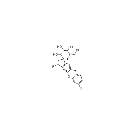 CCc1ccc(Cc2cc3c(cc2Cl)C(F)CC32OC(CO)C(O)C(O)C2O)cc1